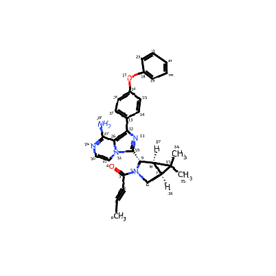 CC#CC(=O)N1C[C@H]2[C@@H]([C@H]1c1nc(-c3ccc(Oc4ccccc4)cc3)c3c(N)nccn13)C2(C)C